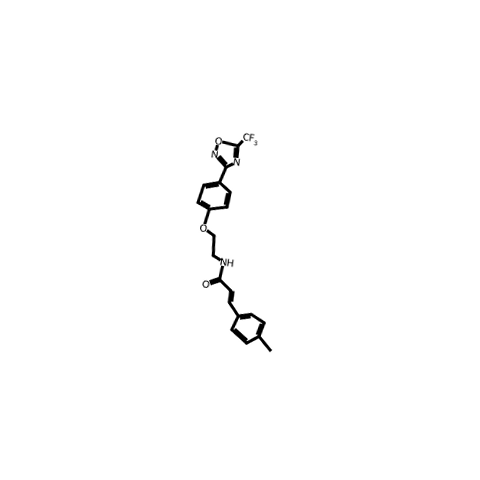 Cc1ccc(/C=C/C(=O)NCCOc2ccc(-c3noc(C(F)(F)F)n3)cc2)cc1